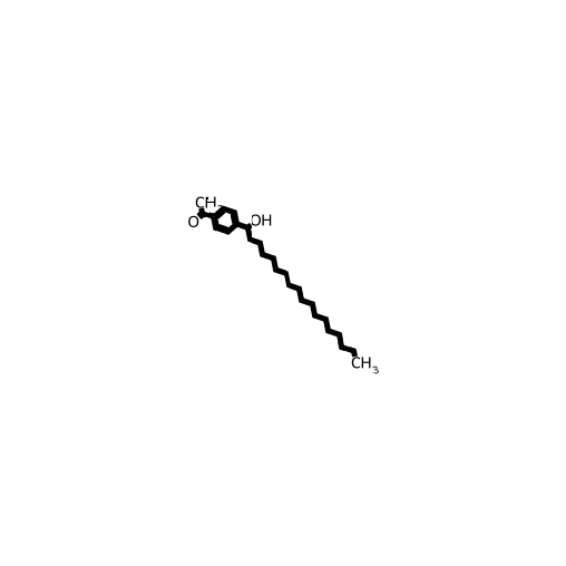 CCCCCCCCCCCCCCCCCC(O)c1ccc(C(C)=O)cc1